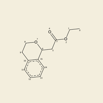 CCOC(=O)CC1OCCc2ccccc21